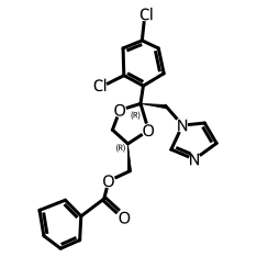 O=C(OC[C@H]1CO[C@](Cn2ccnc2)(c2ccc(Cl)cc2Cl)O1)c1ccccc1